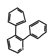 b1cccc(-c2ccccc2)c1-c1ccccc1